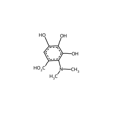 CN(C)c1c(C(=O)O)cc(O)c(O)c1O